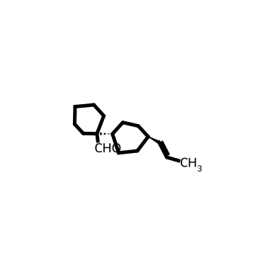 CC=C[C@H]1CC[C@H](C2(C=O)CCCCC2)CC1